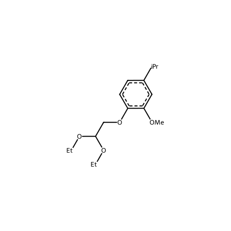 CCOC(COc1ccc(C(C)C)cc1OC)OCC